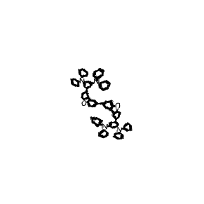 c1ccc(N(c2ccccc2)c2cc(-c3ccc4oc5ccc(-c6ccc7oc8ccc(-c9cc(N(c%10ccccc%10)c%10ccccc%10)cc(N(c%10ccccc%10)c%10ccccc%10)c9)cc8c7c6)cc5c4c3)cc(N(c3ccccc3)c3ccccc3)c2)cc1